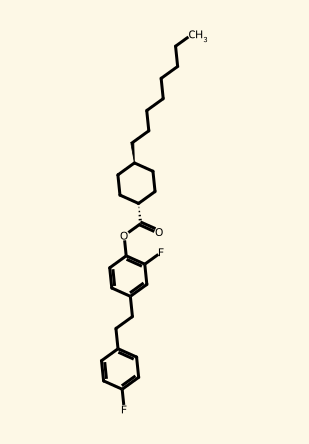 CCCCCCCC[C@H]1CC[C@H](C(=O)Oc2ccc(CCc3ccc(F)cc3)cc2F)CC1